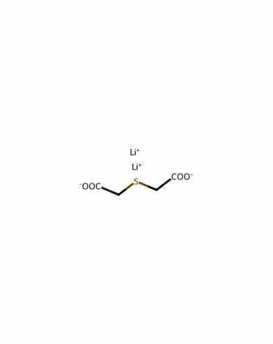 O=C([O-])CSCC(=O)[O-].[Li+].[Li+]